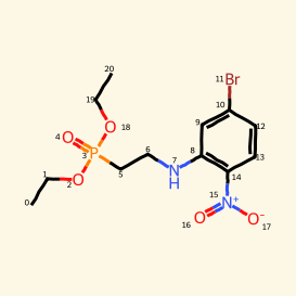 CCOP(=O)(CCNc1cc(Br)ccc1[N+](=O)[O-])OCC